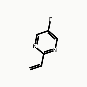 C=Cc1ncc(F)cn1